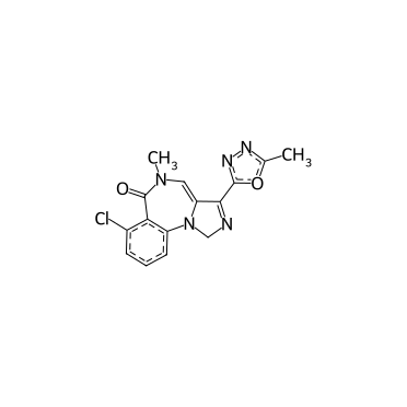 Cc1nnc(C2=NCN3C2=CN(C)C(=O)c2c(Cl)cccc23)o1